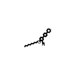 CCCCCCCCCCOc1ccc(-c2ccc(C3CC[CH]CC3)cc2)cc1C#N